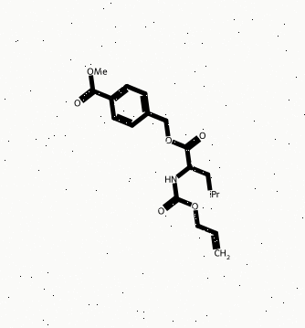 C=CCOC(=O)NC(CC(C)C)C(=O)OCc1ccc(C(=O)OC)cc1